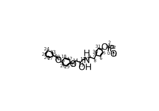 CC(C)(Oc1ccc(CCNCC(O)COc2ccc(OCc3ccccc3)cc2)cc1)P=O